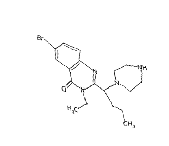 CCCC(c1nc2ccc(Br)cc2c(=O)n1CC)N1CCNCC1